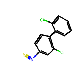 S=Nc1ccc(-c2ccccc2Cl)c(Cl)c1